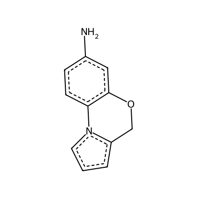 Nc1ccc2c(c1)OCc1cccn1-2